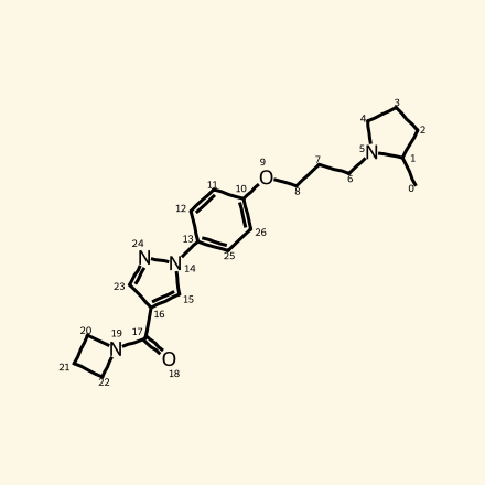 CC1CCCN1CCCOc1ccc(-n2cc(C(=O)N3CCC3)cn2)cc1